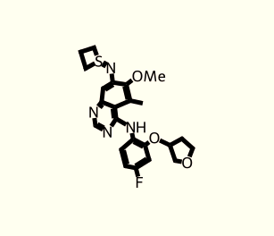 COc1c(N=S2CCC2)cc2ncnc(Nc3ccc(F)cc3OC3CCOC3)c2c1C